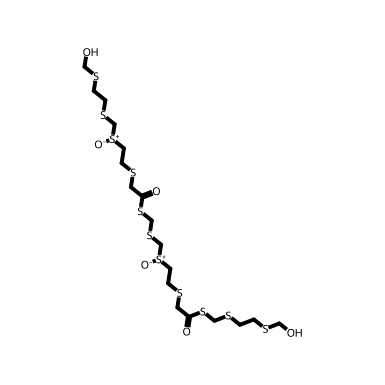 O=C(CSCC[S+]([O-])CSCSC(=O)CSCC[S+]([O-])CSCCSCO)SCSCCSCO